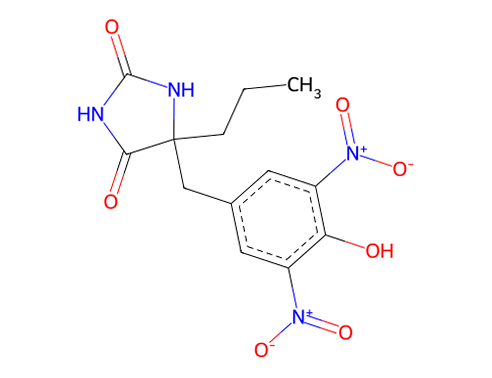 CCCC1(Cc2cc([N+](=O)[O-])c(O)c([N+](=O)[O-])c2)NC(=O)NC1=O